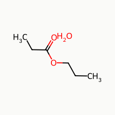 CCCOC(=O)CC.O